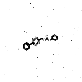 O=C(OCc1nnc(-c2ccccc2)nn1)Oc1ccccc1